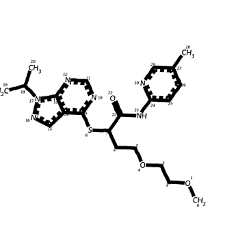 COCCOCCC(Sc1ncnc2c1cnn2C(C)C)C(=O)Nc1ccc(C)cn1